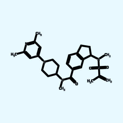 C=C(C)S(=O)(=O)N(C)C1CCc2ccc(C(=O)N(C)C3CCN(c4cc(C)nc(C)c4)CC3)cc21